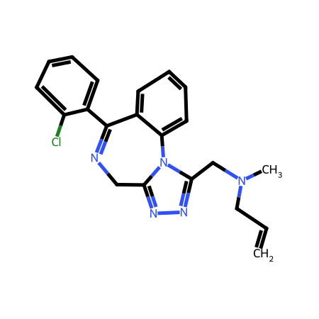 C=CCN(C)Cc1nnc2n1-c1ccccc1C(c1ccccc1Cl)=NC2